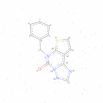 O=c1n(Cc2ccccc2)c2sccc2c2ncnn12